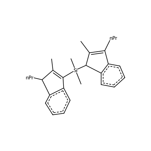 CCCC1=C(C)C([Si](C)(C)C2=C(C)C(CCC)c3ccccc32)c2ccccc21